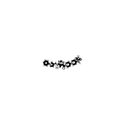 Cc1c(NC[C@H]2CCN(c3ccccc3)C2)ncnc1C(=O)N1CCC(N2CCC(N(C)S(C)(=O)=O)CC2)CC1